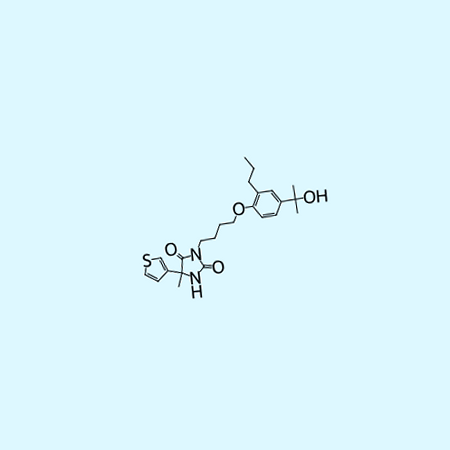 CCCc1cc(C(C)(C)O)ccc1OCCCCN1C(=O)NC(C)(c2ccsc2)C1=O